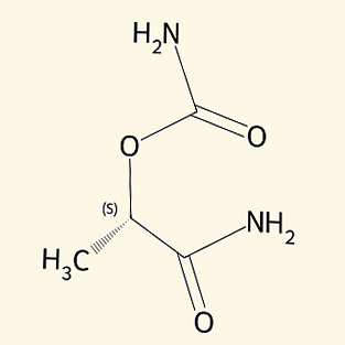 C[C@H](OC(N)=O)C(N)=O